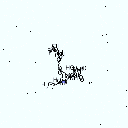 C#C[C@H]1CC(F)(F)CN1C(=O)CNC(=O)c1ccnc2ccc(OCCCCC3CCN(C(=O)CCCCCNC(=O)[C@H](CCCC/N=C(\C)NC(=O)CCCc4ccc(C)cc4)NC(=O)CN4CCN(COC=O)CCN(COC=O)CCN(CC(=O)O)CC4)CC3)cc12